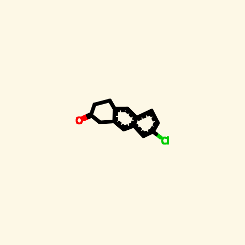 O=C1CCc2cc3ccc(Cl)cc3cc2C1